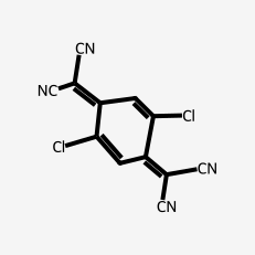 N#CC(C#N)=c1cc(Cl)c(=C(C#N)C#N)cc1Cl